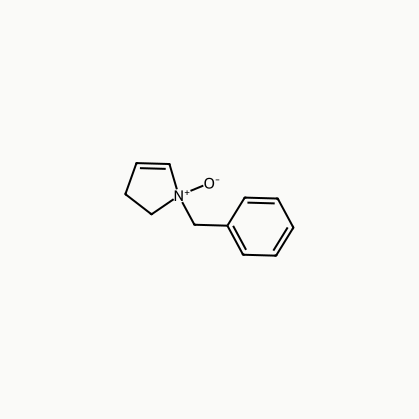 [O-][N+]1(Cc2ccccc2)C=CCC1